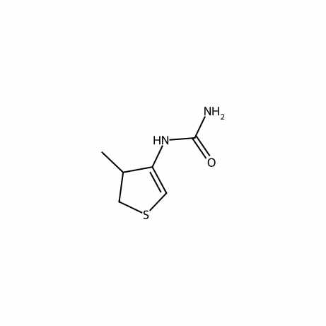 CC1CSC=C1NC(N)=O